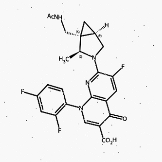 CC(=O)NC[C@]12C[C@H]1CN(c1nc3c(cc1F)c(=O)c(C(=O)O)cn3-c1ccc(F)cc1F)[C@H]2C